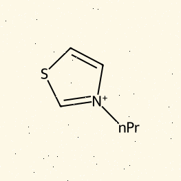 CCC[n+]1ccsc1